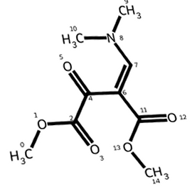 COC(=O)C(=O)/C(=C\N(C)C)C(=O)OC